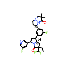 CCC1(C(F)F)C[C@@H]2C(c3cc(F)cc([C@H]4CCN5CC(C)(C)C(=O)N45)c3)CC(c3cncc(F)c3)N2C1=O